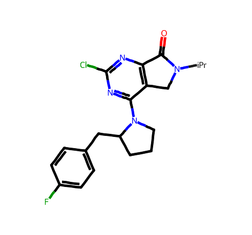 CC(C)N1Cc2c(nc(Cl)nc2N2CCCC2Cc2ccc(F)cc2)C1=O